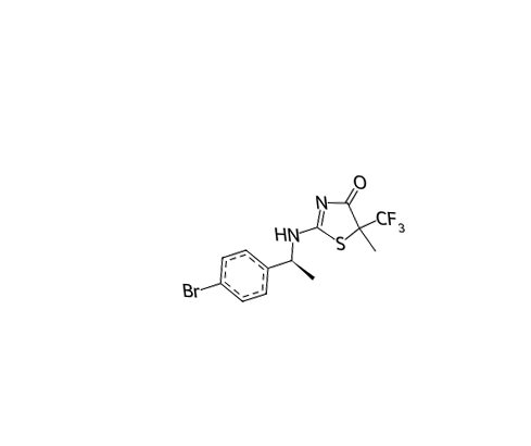 C[C@H](NC1=NC(=O)C(C)(C(F)(F)F)S1)c1ccc(Br)cc1